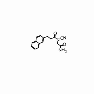 N#CN(CC(N)=O)C(=O)[CH]Cc1ccc2ccccc2c1